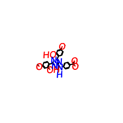 COC(=O)c1ccc(Nc2nc(-c3ccc(OC)cc3O)nc(-c3ccc(OC)cc3O)n2)cc1